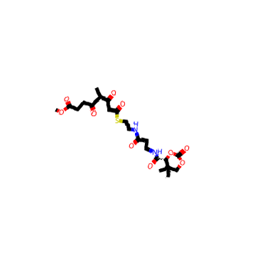 COC(=O)CCC(=O)C(C)C(=O)CC(=O)SCCNC(=O)CCNC(=O)[C@@H]1OC(=O)OCC1(C)C